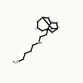 CCCCCNCCC12CCCC3CC(CC1C3)C2